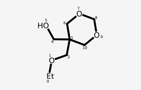 CCOCC1(CO)COCOC1